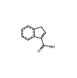 [NH]C(=O)C1=CCc2ccccc21